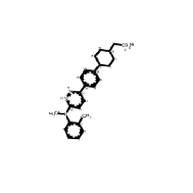 Cc1ccccc1N(C)c1ccc(-c2ccc(C3CCC(CC(=O)O)CC3)cc2)nn1